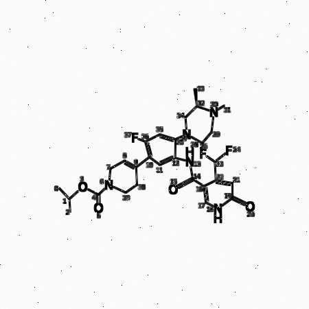 CC(C)OC(=O)N1CC=C(c2cc(NC(=O)c3c[nH]c(=O)cc3C(F)F)c(N3CCN(C)[C@H](C)C3)cc2F)CC1